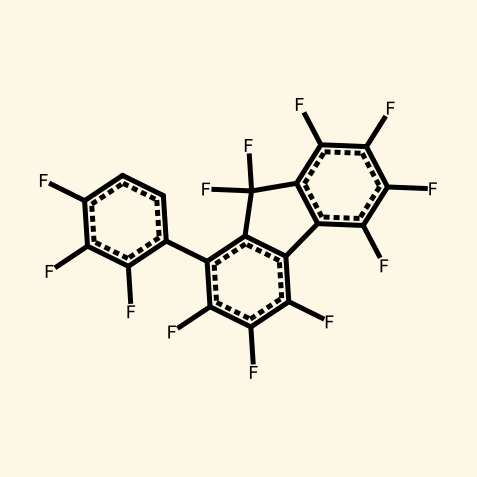 Fc1ccc(-c2c(F)c(F)c(F)c3c2C(F)(F)c2c(F)c(F)c(F)c(F)c2-3)c(F)c1F